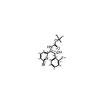 CC(C)(C)OC(=O)N[C@H](c1cccc(Br)n1)[C@H](O)c1ccccc1F